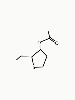 CC[C@H]1SCC[C@H]1OC(C)=O